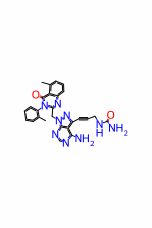 Cc1ccccc1-n1c(Cn2nc(C#CCNC(N)=O)c3c(N)ncnc32)nc2cccc(C)c2c1=O